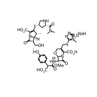 CO[C@@]1(NC(=O)C(C(=O)O)c2ccc(O)cc2)C(=O)N2C(C(=O)O)=C(CSc3nnnn3C)CO[C@@H]21.C[C@@H](O)[C@H]1C(=O)N2C(C(=O)O)=C(S[C@@H]3CN[C@H](C(=O)N(C)C)C3)[C@H](C)[C@H]12.O.[NaH]